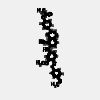 COc1ccc(COc2ccc(Nc3ccc4ncc(N5CCC(OC(C)=O)CC5)nc4c3C#N)cc2OC)cc1